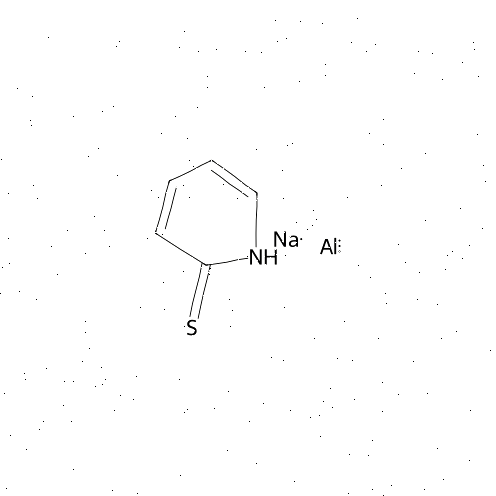 S=c1cccc[nH]1.[Al].[Na]